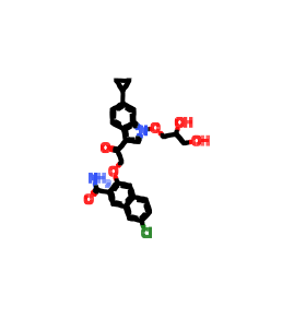 NC(=O)c1cc2cc(Cl)ccc2cc1OCC(=O)c1cn(OCC(O)CO)c2cc(C3CC3)ccc12